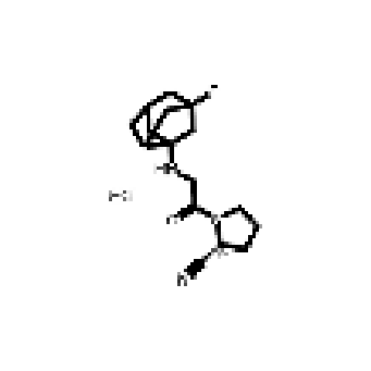 Cl.N#C[C@@H]1CCCN1C(=O)CNC12CC3CC1CC(F)(C3)C2